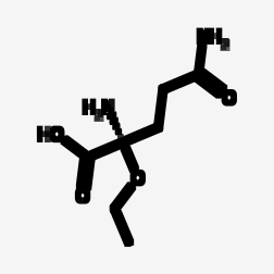 CCO[C@](N)(CCC(N)=O)C(=O)O